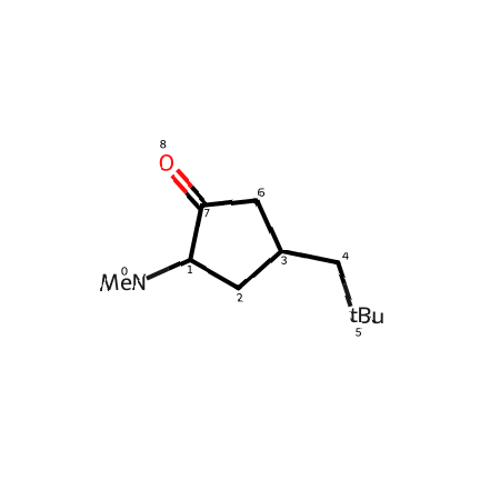 CNC1CC(CC(C)(C)C)CC1=O